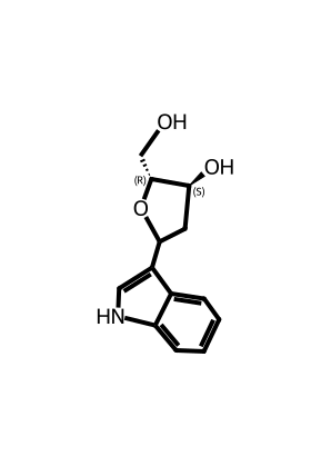 OC[C@H]1OC(c2c[nH]c3ccccc23)C[C@@H]1O